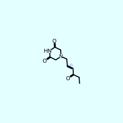 CCC(=O)/C=C/CN1CC(=O)NC(=O)C1